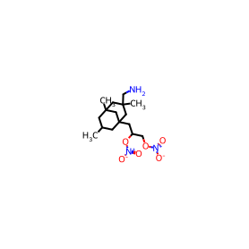 CC1CC2(C)CC(C)(CN)CC(CC(CO[N+](=O)[O-])O[N+](=O)[O-])(C1)C2